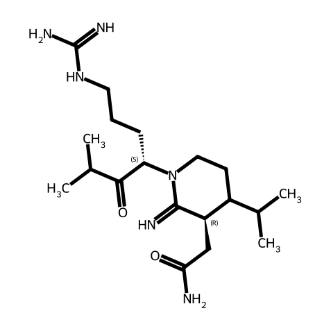 CC(C)C(=O)[C@H](CCCNC(=N)N)N1CCC(C(C)C)[C@@H](CC(N)=O)C1=N